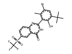 Cc1c(Br)cc(C(C)(C)C)c(O)c1-c1nc2ccc(S(=O)(=O)C(F)(F)F)cc2c(=O)[nH]1